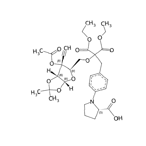 C#C[C@@]1(OC(C)=O)[C@@H](COC(Cc2ccc(N3CCC[C@H]3C(=O)O)cc2)(C(=O)OCC)C(=O)OCC)O[C@@H]2OC(C)(C)O[C@@H]21